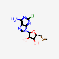 CSC[C@H]1OC(n2cnc3c(N)nc(Cl)nc32)C(O)C1O